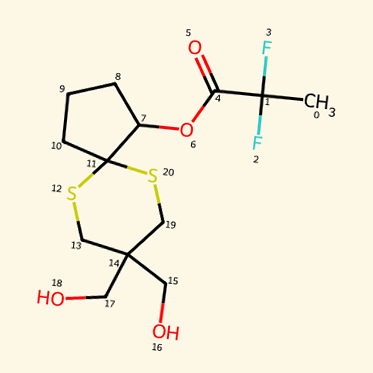 CC(F)(F)C(=O)OC1CCCC12SCC(CO)(CO)CS2